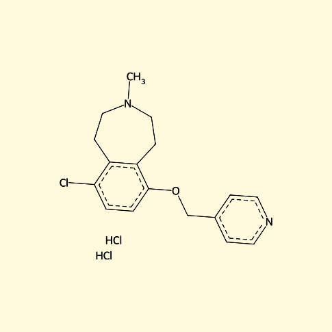 CN1CCc2c(Cl)ccc(OCc3ccncc3)c2CC1.Cl.Cl